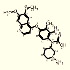 COc1cc2nccc(Oc3ccc(N(C(=O)O)C4CCCN(C)C4)c(C)c3C)c2cc1OC